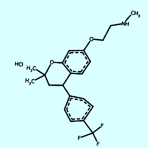 CNCCOc1ccc2c(c1)OC(C)(C)CC2c1ccc(C(F)(F)F)cc1.Cl